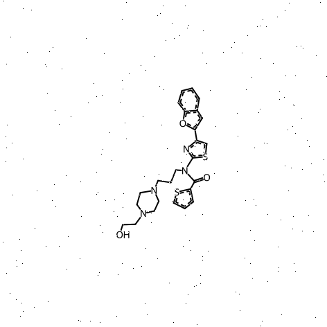 O=C(c1cccs1)N(CCCN1CCN(CCO)CC1)c1nc(-c2cc3ccccc3o2)cs1